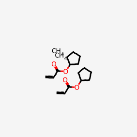 C.C.C=CC(=O)OC1CCCC1.C=CC(=O)OC1CCCC1